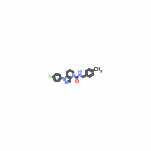 Cc1ccc(CNC(=O)N2CCCc3c2cnn3-c2ccc(F)cc2)cc1